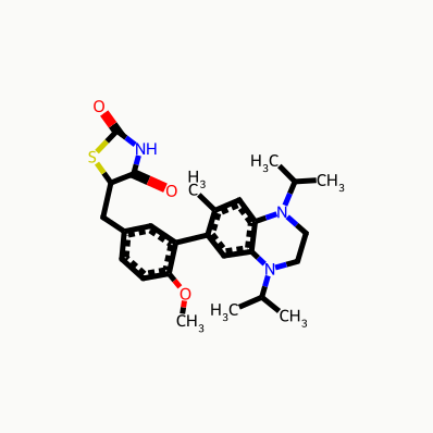 COc1ccc(CC2SC(=O)NC2=O)cc1-c1cc2c(cc1C)N(C(C)C)CCN2C(C)C